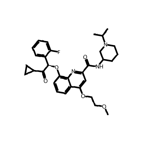 COCCOc1cc(C(=O)NC2CCCN(C(C)C)C2)nc2c(O[C@@H](C(=O)C3CC3)c3ccccc3F)cccc12